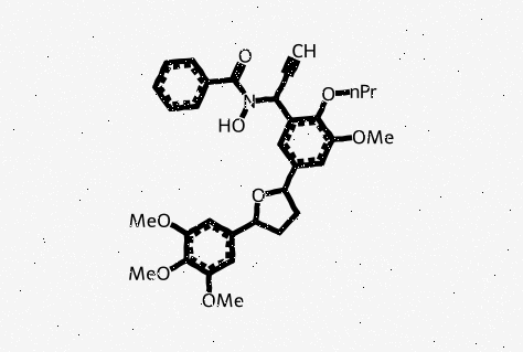 C#CC(c1cc(C2CCC(c3cc(OC)c(OC)c(OC)c3)O2)cc(OC)c1OCCC)N(O)C(=O)c1ccccc1